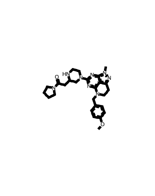 COc1ccc(CN2CCc3nn(C)c4nc(N5CCNC(CC(=O)N6CCCC6)C5)nc2c34)cc1